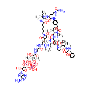 CC[C@H](N)[C@@H]([C@H](O)CC(=O)N1CCC[C@H]1[C@H](OC)[C@@H](C)C(=O)N[C@@H](Cc1ccccc1)C(=O)O)N(C)C(=O)[C@@H](NC(=O)[C@H](C(C)C)N(C)C(=O)OCc1ccc(NC(=O)[C@H](CCCNC(N)=O)NC(=O)[C@@H](NC(=O)CCCCCN2C(=O)CC(SCCNC(=O)CCNC(=O)[C@H](O)C(C)(C)COP(=O)(O)OP(=O)(O)OC[C@@H]3O[C@H](n4cnc5c(N)ncnc54)[C@H](O)[C@@H]3OP(=O)(O)O)C2=O)C(C)C)cc1)C(C)C